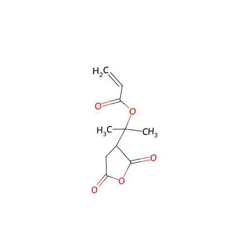 C=CC(=O)OC(C)(C)C1CC(=O)OC1=O